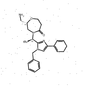 CC(C)(C)[C@H](c1nc(C2=CCCC=C2)cn1Cc1ccccc1)N1C[C@H](CN)OCCC1=O